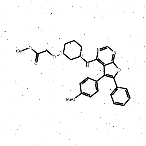 COc1ccc(-c2c(-c3ccccc3)oc3ncnc(N[C@@H]4CCC[C@@H](OCC(=O)OC(C)(C)C)C4)c23)cc1